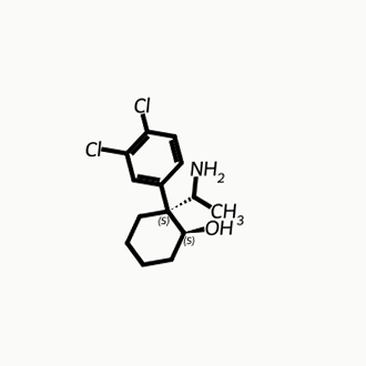 CC(N)[C@@]1(c2ccc(Cl)c(Cl)c2)CCCC[C@@H]1O